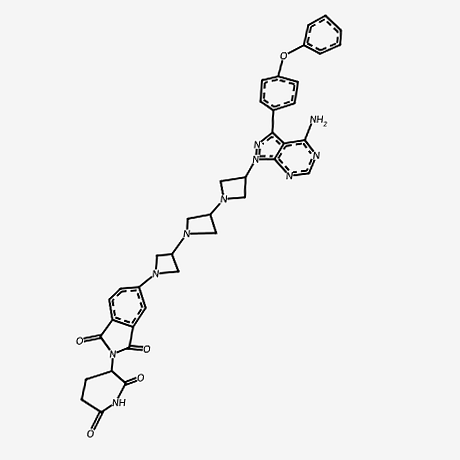 Nc1ncnc2c1c(-c1ccc(Oc3ccccc3)cc1)nn2C1CN(C2CN(C3CN(c4ccc5c(c4)C(=O)N(C4CCC(=O)NC4=O)C5=O)C3)C2)C1